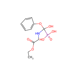 CCOC(=O)CNC(O)(Oc1ccccc1)P(=O)(O)O